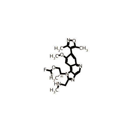 CNCc1nc2cnc3cc(-c4c(C)noc4C)c(OC)cc3c2n1[C@H](C)COC(F)F